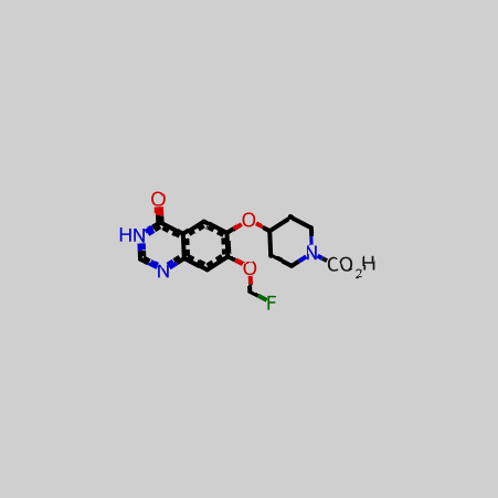 O=C(O)N1CCC(Oc2cc3c(=O)[nH]cnc3cc2OCF)CC1